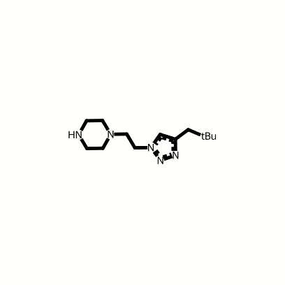 CC(C)(C)Cc1cn(CCN2CCNCC2)nn1